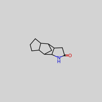 O=C1CC2C3CC(C4CCCC34)C2N1